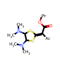 CC(=O)C(C(=O)OC(C)C)=C1SC(N(C)C)C(N(C)C)S1